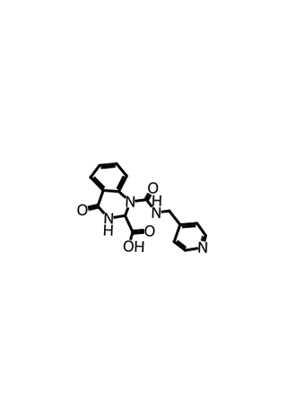 O=C1NC(C(=O)O)N(C(=O)NCc2ccncc2)c2ccccc21